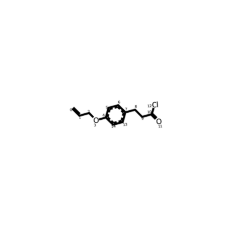 C=CCOc1ccc(CCC(=O)Cl)cc1